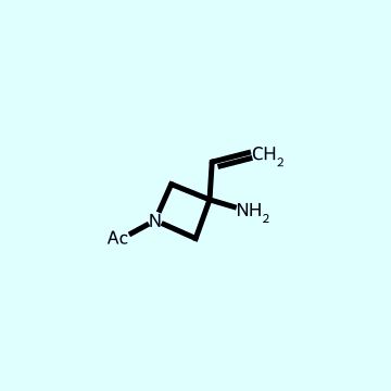 C=CC1(N)CN(C(C)=O)C1